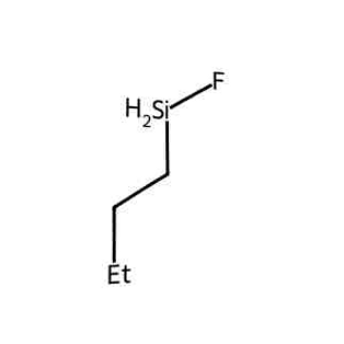 CCCC[SiH2]F